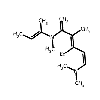 C=C(/C(C)=C(/C=C\N(C)C)CC)N(C)/C(C)=C/C